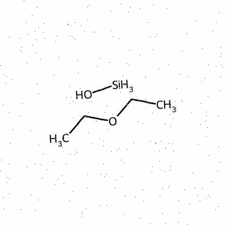 CCOCC.O[SiH3]